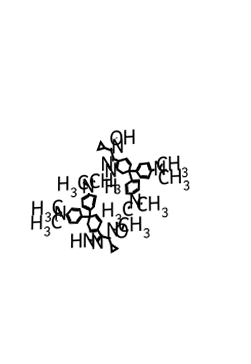 CN(C)c1ccc(C2(c3ccc(N(C)C)cc3)C=Cc3c(C(=NO)C4CC4)n[nH]c3C2)cc1.CON=C(c1n[nH]c2c1C=CC(c1ccc(N(C)C)cc1)(c1ccc(N(C)C)cc1)C2)C1CC1